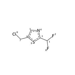 FC(F)c1ncc(CCl)s1